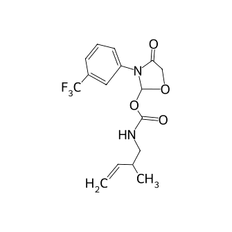 C=CC(C)CNC(=O)OC1OCC(=O)N1c1cccc(C(F)(F)F)c1